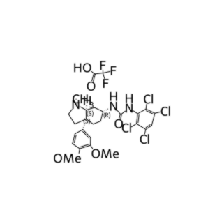 COc1ccc([C@@]23CC[C@@H](NC(=O)Nc4c(Cl)c(Cl)cc(Cl)c4Cl)C[C@@H]2N(C)CC3)cc1OC.O=C(O)C(F)(F)F